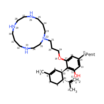 C=C(C)[C@@H]1CCC(C)=C[C@H]1c1c(O)cc(CCCCC)cc1OCCCN1CCCNCCNCCCNCC1